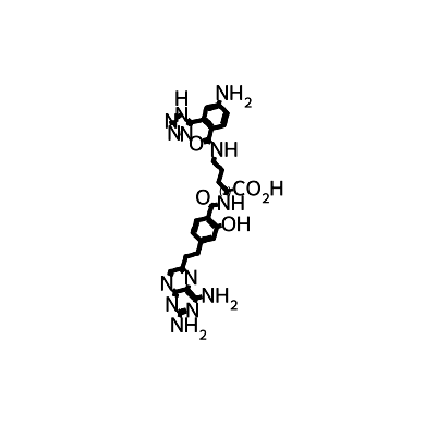 Nc1ccc(C(=O)NCCC[C@H](NC(=O)c2ccc(CCc3cnc4nc(N)nc(N)c4n3)cc2O)C(=O)O)c(-c2nnn[nH]2)c1